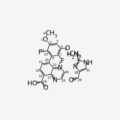 COc1cc(OC)c(F)c(-c2ccc(C(=O)O)c3nccnc23)c1F.Nc1nc(C=O)c[nH]1